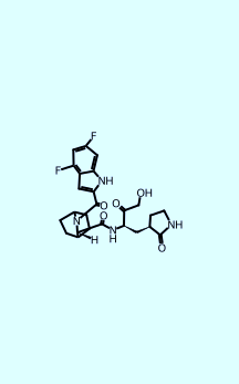 O=C1NCC[C@@H]1C[C@@H](NC(=O)[C@@H]1C2CCC(CC2)N1C(=O)c1cc2c(F)cc(F)cc2[nH]1)C(=O)CO